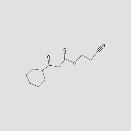 N#CCCOC(=O)CC(=O)C1CCCCC1